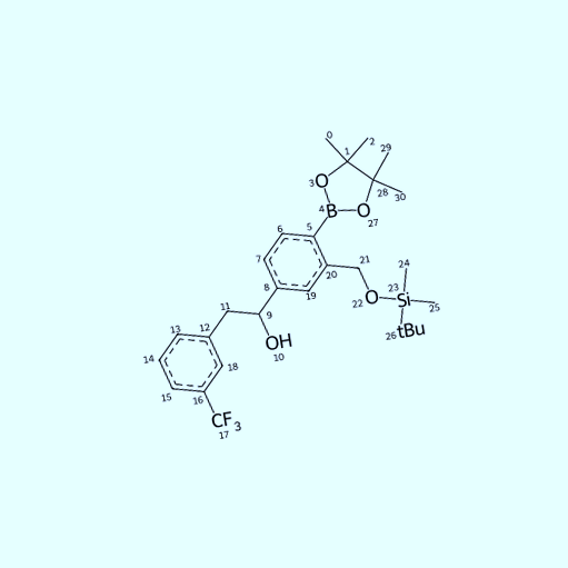 CC1(C)OB(c2ccc(C(O)Cc3cccc(C(F)(F)F)c3)cc2CO[Si](C)(C)C(C)(C)C)OC1(C)C